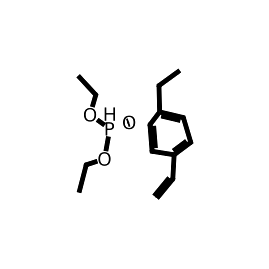 C=Cc1ccc(CC)cc1.CCO[PH](=O)OCC